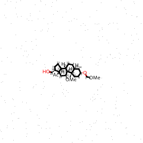 COCO[C@@H]1CC[C@@]2(C)[C@@H](CC[C@@H]3[C@@H]2[C@@H](OC)C[C@]2(C(C)=O)[C@@H](CO)CC[C@@H]32)C1